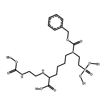 CCOP(=O)(CCN(CCCCC(NCCNC(=O)OC(C)(C)C)C(=O)OC)C(=O)OCc1ccccc1)OCC